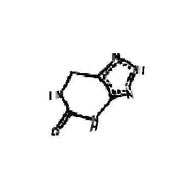 O=C1NCc2n[nH]nc2N1